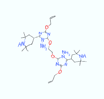 C=CCOC1=NC(OCCOC2N=C(OCC=C)N=C(C3CC(C)(C)NC(C)(C)C3)N2N)N(N)C(C2CC(C)(C)NC(C)(C)C2)=N1